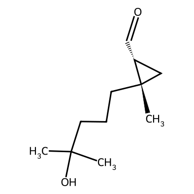 CC(C)(O)CCC[C@@]1(C)C[C@H]1C=O